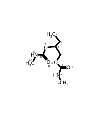 CCC(COC(=O)NC)OC(=O)NC